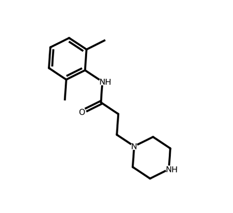 Cc1cccc(C)c1NC(=O)CCN1CCNCC1